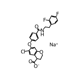 O=C(NCCc1ccc(F)cc1F)c1ccc(Oc2cc3c(cc2Cl)C(C(=O)[O-])CCO3)cc1.[Na+]